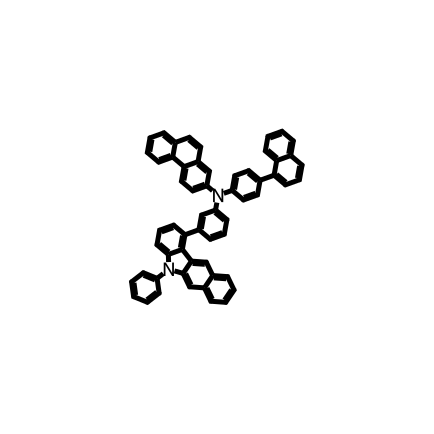 c1ccc(-n2c3cc4ccccc4cc3c3c(-c4cccc(N(c5ccc(-c6cccc7ccccc67)cc5)c5ccc6c(ccc7ccccc76)c5)c4)cccc32)cc1